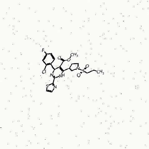 CCCS(=O)(=O)N1CCC(C2=C(C(=O)OC)C(c3ccc(F)cc3Cl)N=C(c3nccs3)N2)C1